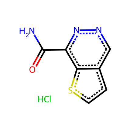 Cl.NC(=O)c1nncc2ccsc12